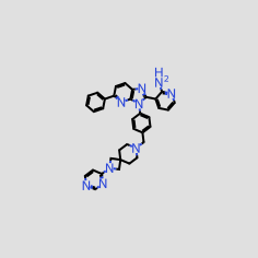 Nc1ncccc1-c1nc2ccc(-c3ccccc3)nc2n1-c1ccc(CN2CCC3(CC2)CN(c2ccncn2)C3)cc1